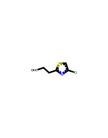 O=CCCc1nc(Cl)cs1